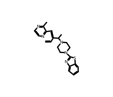 C=C/C(=C\c1nccnc1C)C(C)N1CCN(c2nc3ccccc3s2)CC1